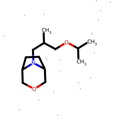 CC(COC(C)C)CN1C2CCC1COC2